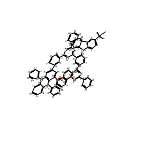 CC(C)(C)c1ccc2c(c1)c1ccccc1n2-c1ccc(-c2nc(-c3ccccc3)nc(-c3ccccc3)n2)cc1-c1nc(-c2ccccc2)nc(-c2cccc(-c3cc4c5c(c3)N(c3ccccc3)c3ccccc3B5c3ccccc3N4c3ccccc3)c2)n1